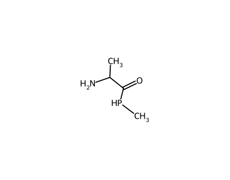 CPC(=O)C(C)N